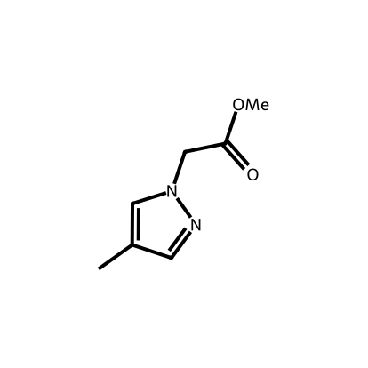 COC(=O)Cn1cc(C)cn1